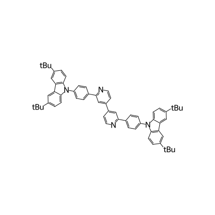 CC(C)(C)c1ccc2c(c1)c1cc(C(C)(C)C)ccc1n2-c1ccc(-c2cc(-c3ccnc(-c4ccc(-n5c6ccc(C(C)(C)C)cc6c6cc(C(C)(C)C)ccc65)cc4)c3)ccn2)cc1